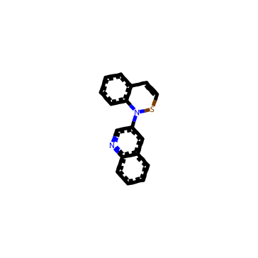 C1=Cc2ccccc2N(c2cnc3ccccc3c2)S1